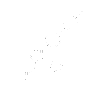 Cc1ccoc1-c1c(CN(C)C)cnn1-c1ccc(-c2ccc(F)cc2)cc1